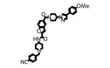 COc1ccc(-c2cnn(C3CCN(C(=O)c4ccc5oc(C(=O)NC6CCN(Cc7ccc(C#N)cc7)CC6)cc5c4)CC3)c2)cc1